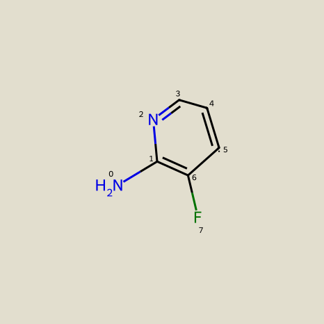 Nc1ncc[c]c1F